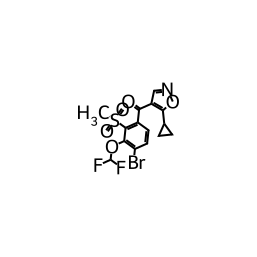 CS(=O)(=O)c1c(C(=O)c2cnoc2C2CC2)ccc(Br)c1OC(F)F